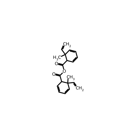 C=CC1(C)C=CC=CC1C(=O)OC(=O)C1C=CC=CC1(C)C=C